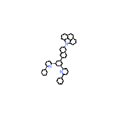 c1ccc(-c2cccc(-c3cc(-c4ccc5cc(-n6c7cccc8ccc9cccc6c9c87)ccc5c4)cc(-c4cccc(-c5ccccc5)n4)c3)n2)cc1